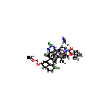 COCOc1cc(-c2c(F)cc3c(N4CCN(C(=O)OC(C)(C)C)[C@@H](CC#N)C4)nc(F)nc3c2F)c2c(C#C[Si](C(C)C)(C(C)C)C(C)C)c(F)ccc2c1